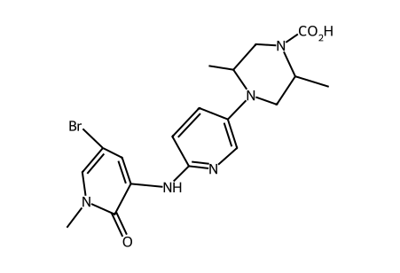 CC1CN(c2ccc(Nc3cc(Br)cn(C)c3=O)nc2)C(C)CN1C(=O)O